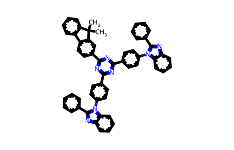 CC1(C)c2ccccc2-c2ccc(-c3nc(-c4ccc(-n5c(-c6ccccc6)nc6ccccc65)cc4)nc(-c4ccc(-n5c(-c6ccccc6)nc6ccccc65)cc4)n3)cc21